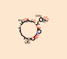 [2H]C([2H])([2H])O[C@H]1C[C@@H]2CC[C@@H](C)[C@@](O)(O2)C(=O)C(=O)N2CCCC[C@H]2C(=O)O[C@H]([C@H](C)C[C@@H]2CC[C@@H](OP(C)(=O)C([2H])([2H])[2H])[C@H](OC)C2)CC(=O)[C@H](C)/C=C(\C)[C@@H](O)[C@@H](OC)C(=C)[C@H](C)C[C@H](C)/C=C/C=C/C=C/1C